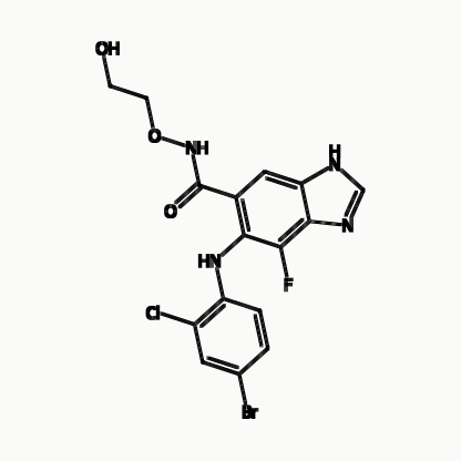 O=C(NOCCO)c1cc2[nH]cnc2c(F)c1Nc1ccc(Br)cc1Cl